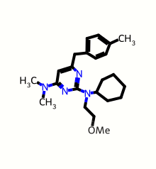 COCCN(c1nc(Cc2ccc(C)cc2)cc(N(C)C)n1)C1CCCCC1